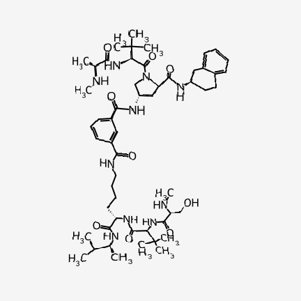 CN[C@@H](C)C(=O)N[C@H](C(=O)N1C[C@@H](NC(=O)c2cccc(C(=O)NCCCC[C@H](NC(=O)[C@@H](NC(=O)[C@H](CO)NC)C(C)(C)C)C(=O)N[C@@H](C)C(C)C)c2)CC1C(=O)N[C@@H]1CCc2ccccc2C1)C(C)(C)C